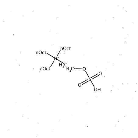 CCCCCCCC[N+](C)(CCCCCCCC)CCCCCCCC.COS(=O)(=O)O